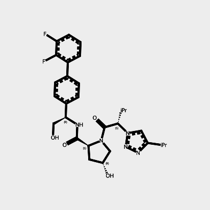 CC(C)c1cn([C@H](C(=O)N2C[C@H](O)C[C@H]2C(=O)N[C@@H](CO)c2ccc(-c3cccc(F)c3F)cc2)C(C)C)nn1